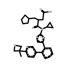 CC1(c2ccc(-c3ccccc3-c3csc(N(C(=O)C(CC(=O)O)CC4CCCC4)C4CC4)n3)cn2)COC1